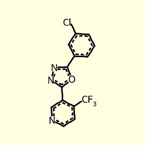 FC(F)(F)c1ccncc1-c1nnc(-c2cccc(Cl)c2)o1